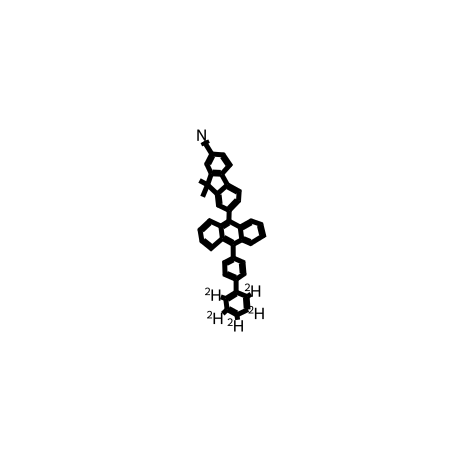 [2H]c1c([2H])c([2H])c(-c2ccc(-c3c4ccccc4c(-c4ccc5c(c4)C(C)(C)c4cc(C#N)ccc4-5)c4ccccc34)cc2)c([2H])c1[2H]